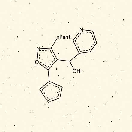 CCCCCc1noc(-c2ccsc2)c1C(O)c1cccnc1